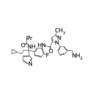 Cc1cc(C(=O)Nc2cc(C(CCC3CC3)(NC(=O)C(C)C)c3cccnc3)ccc2F)n(-c2cccc(CN)c2)n1